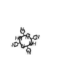 CN1C=CC(c2c3nc(c(C4C=CN(C)C=C4)c4ccc([nH]4)c(C4C=CN(C)C=C4)c4nc(c(C5C=CN(C)C=C5)c5ccc2[nH]5)C=C4)C=C3)C=C1